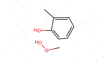 COO.Cc1ccccc1O